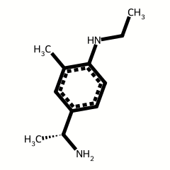 CCNc1ccc([C@@H](C)N)cc1C